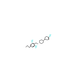 CCCc1cc(F)c(CC[C@H]2CC[C@H](C3CC=C(F)CC3)CC2)c(F)c1